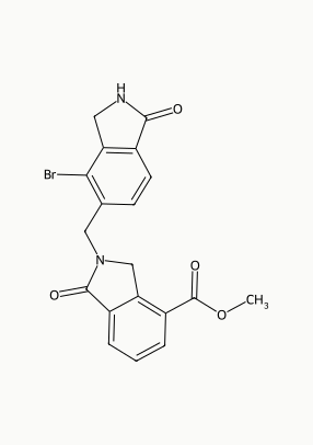 COC(=O)c1cccc2c1CN(Cc1ccc3c(c1Br)CNC3=O)C2=O